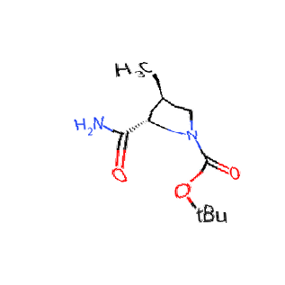 C[C@H]1CN(C(=O)OC(C)(C)C)[C@@H]1C(N)=O